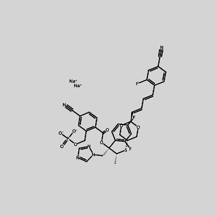 C[C@@H](S[C@H]1CO[C@H](/C=C/C=C/c2ccc(C#N)cc2F)OC1)[C@@](Cn1cncn1)(OC(=O)c1ccc(C#N)cc1COP(=O)([O-])[O-])c1ccc(F)cc1F.[Na+].[Na+]